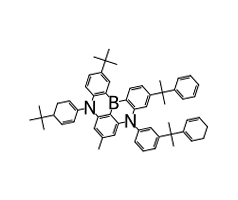 Cc1cc2c3c(c1)N(c1cccc(C(C)(C)C4=CCCC=C4)c1)c1cc(C(C)(C)c4ccccc4)ccc1B3c1cc(C(C)(C)C)ccc1N2C1=CCC(C(C)(C)C)C=C1